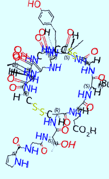 CC[C@H](C)[C@@H]1NC(=O)[C@H](CCC(=O)O)NC(=O)[C@@H](NC(=O)[C@@H](NC(=O)CNC(=O)[C@@H]2C=CCN2)[C@@H](C)O)CSSC[C@@H]2NC(=O)[C@H](C)NC(=O)CNC(=O)[C@H](Cc3ccc(O)cc3)NC(=O)[C@H](C)NC(=O)[C@H](CSSCCNC(=O)CNC(=O)[C@H]([C@@H](C)O)NC2=O)NC1=O